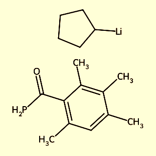 Cc1cc(C)c(C(=O)P)c(C)c1C.[Li][CH]1CCCC1